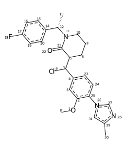 COc1cc(C(Cl)C2CCCN([C@@H](C)c3ccc(F)cc3)C2=O)ccc1-n1cnc(C)c1